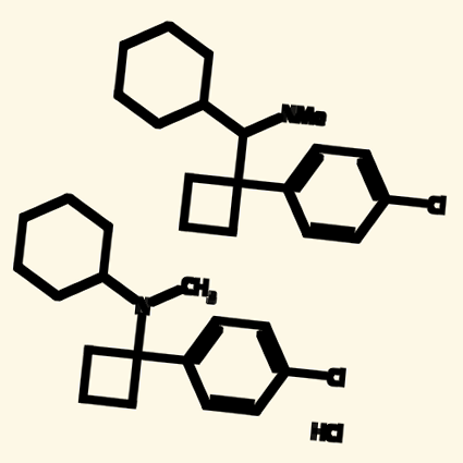 CN(C1CCCCC1)C1(c2ccc(Cl)cc2)CCC1.CNC(C1CCCCC1)C1(c2ccc(Cl)cc2)CCC1.Cl